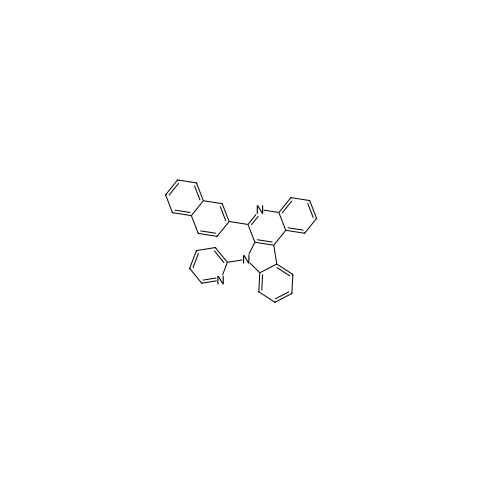 c1ccc(-n2c3ccccc3c3c4ccccc4nc(-c4ccc5ccccc5c4)c32)nc1